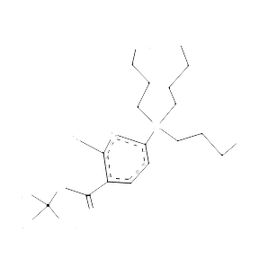 CCC[CH2][Sn]([CH2]CCC)([CH2]CCC)[c]1ccc(C(=O)OC(C)(C)C)c(N)n1